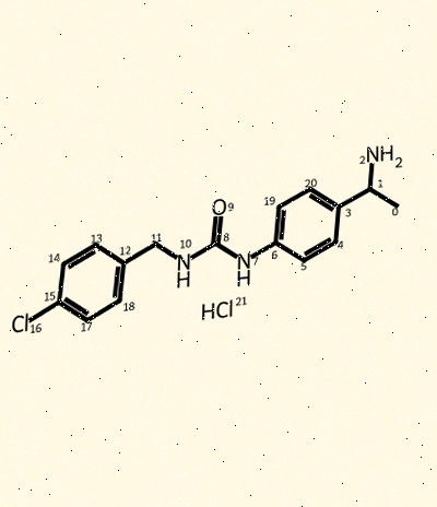 CC(N)c1ccc(NC(=O)NCc2ccc(Cl)cc2)cc1.Cl